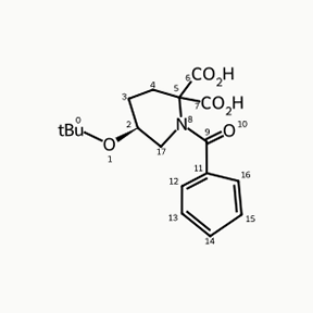 CC(C)(C)O[C@H]1CCC(C(=O)O)(C(=O)O)N(C(=O)c2ccccc2)C1